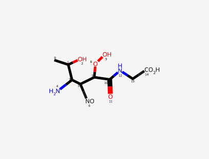 CC(O)C(N)C(N=O)C(OO)C(=O)NCC(=O)O